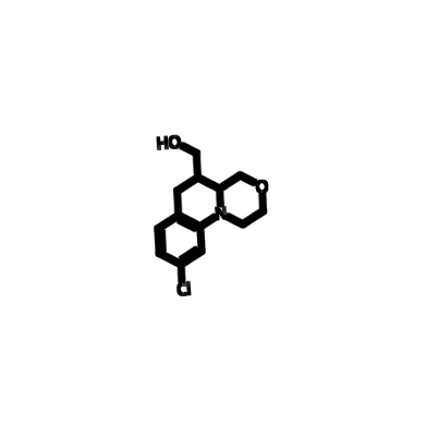 OCC1Cc2ccc(Cl)cc2N2CCOCC12